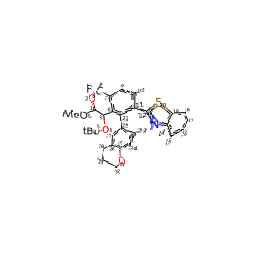 COC(=O)C(OC(C)(C)C)c1c(C(F)(F)F)ccc(-c2nc3ccccc3s2)c1-c1ccc2c(c1)CCCO2